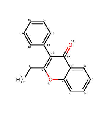 CCc1oc2ccccc2c(=O)c1-c1ccccc1